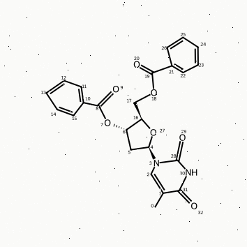 Cc1cn([C@H]2C[C@H](OC(=O)c3ccccc3)[C@@H](COC(=O)c3ccccc3)O2)c(=O)[nH]c1=O